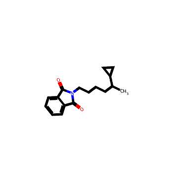 CC(CCC[CH]N1C(=O)c2ccccc2C1=O)C1CC1